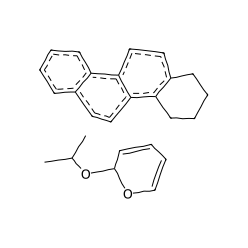 CC(C)OC1C=CC=CO1.c1ccc2c(c1)ccc1c3c(ccc12)CCCC3